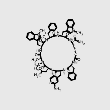 CC(C)C[C@@H]1NC(=O)[C@H](Cc2ccnc(N)c2)NC(=O)[C@H](Cc2ccccc2)NC(=O)CSC[C@@H](C(N)=O)NC(=O)[C@H](Cc2cn(C)c3ccccc23)NC(=O)[C@H](Cc2ccccc2)N(C)C(=O)[C@H](Cc2cn(C)c3ccccc23)NC(=O)[C@H](C)N(C)C1=O